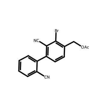 CC(=O)OCc1ccc(-c2ccccc2C#N)c(C#N)c1Br